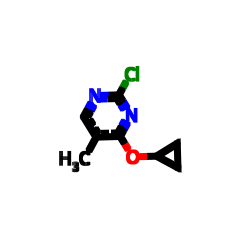 Cc1cnc(Cl)nc1OC1CC1